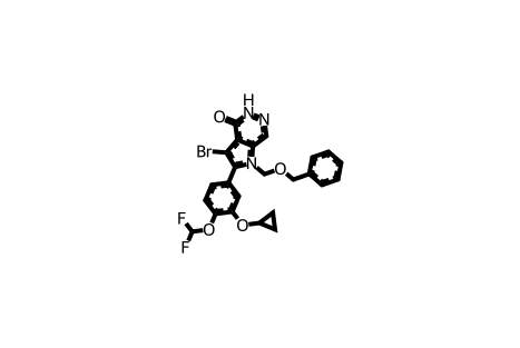 O=c1[nH]ncc2c1c(Br)c(-c1ccc(OC(F)F)c(OC3CC3)c1)n2COCc1ccccc1